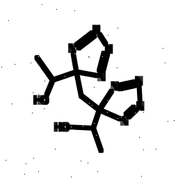 CC(O)C1(CC2(C(C)O)N=NN=N2)N=NN=N1